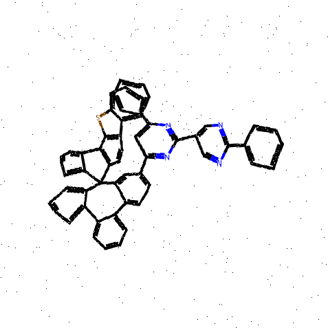 c1ccc(-c2cc(-c3ccc4c(c3)C3(c5ccccc5-c5ccccc5-4)c4ccccc4-c4c3ccc3c4sc4ccccc43)nc(-c3cnc(-c4ccccc4)nc3)n2)cc1